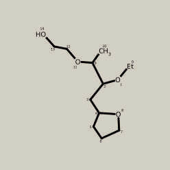 CCOC(CC1CCCO1)C(C)OCCO